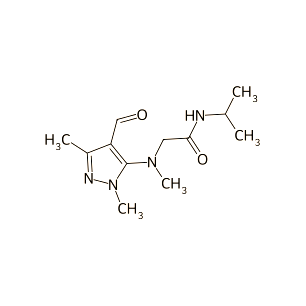 Cc1nn(C)c(N(C)CC(=O)NC(C)C)c1C=O